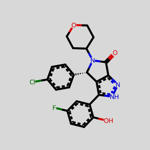 O=C1c2n[nH]c(-c3cc(F)ccc3O)c2[C@H](c2ccc(Cl)cc2)N1C1CCOCC1